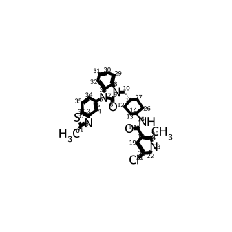 Cc1nc2cc(-n3c(=O)n(C[C@H]4CC[C@H](NC(=O)c5cc(Cl)cnc5C)CC4)c4ccccc43)ccc2s1